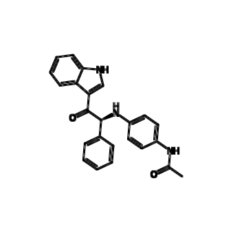 CC(=O)Nc1ccc(N[C@H](C(=O)c2c[nH]c3ccccc23)c2ccccc2)cc1